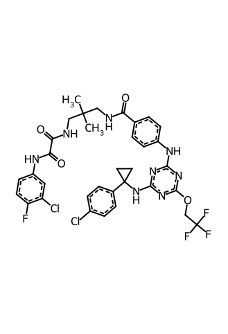 CC(C)(CNC(=O)C(=O)Nc1ccc(F)c(Cl)c1)CNC(=O)c1ccc(Nc2nc(NC3(c4ccc(Cl)cc4)CC3)nc(OCC(F)(F)F)n2)cc1